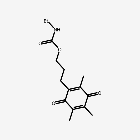 CCNC(=O)OCCCC1=C(C)C(=O)C(C)=C(C)C1=O